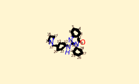 O=c1c2ccccc2nc(Nc2ccc(CN3CCC3)cc2)n1-c1ccccc1